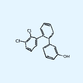 Oc1cccc(-c2ccccc2-c2cccc(Cl)c2Cl)c1